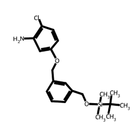 CC(C)(C)[Si](C)(C)OCc1cccc(COc2ccc(Cl)c(N)c2)c1